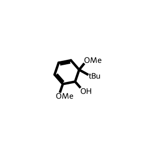 COC1=CC=CC(OC)(C(C)(C)C)C1O